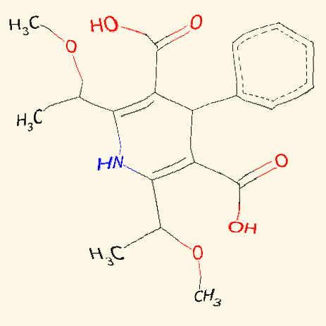 COC(C)C1=C(C(=O)O)C(c2ccccc2)C(C(=O)O)=C(C(C)OC)N1